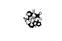 CN(C)C(=O)c1nccc(Nc2c(N[C@@H](c3nc(F)ccc3F)C3(C)CCCC3)c(=O)c2=O)c1O